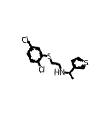 CC(NCCSc1cc(Cl)ccc1Cl)c1ccsc1